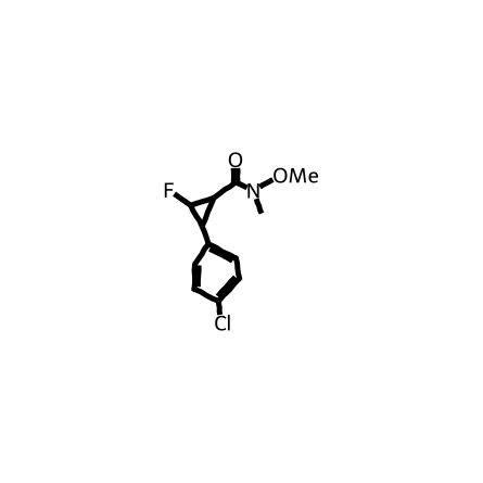 CON(C)C(=O)C1C(F)C1c1ccc(Cl)cc1